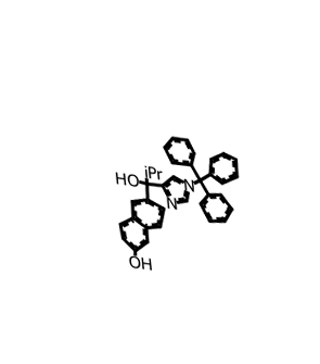 CC(C)C(O)(c1ccc2cc(O)ccc2c1)c1cn(C(c2ccccc2)(c2ccccc2)c2ccccc2)cn1